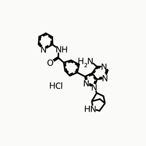 Cl.Nc1ncnc2c1c(-c1ccc(C(=O)Nc3ccccn3)cc1)nn2C1CC2CNC1C2